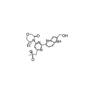 CC[C@H]1COCC(=O)N1c1cc(CS(C)(=O)=O)nc(-c2ccc3[nH]c(CO)cc3n2)n1